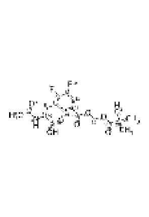 CC(=O)N[C@H]1Cc2c(F)c(F)cc(C(=O)OCOC(=O)C(C)(C)C)c2OB1O